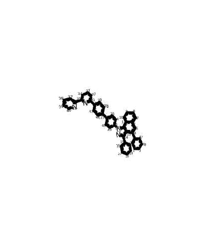 c1ccc(-c2cc3ccccc3c3c2c(-c2ccccc2)nn3-c2ccc(-c3ccc(-c4cccc(-c5ccccn5)n4)cc3)cc2)cc1